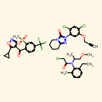 C#CCOc1cc(-n2nc3n(c2=O)CCCC3)c(Cl)cc1Cl.CCc1cccc(C)c1N(C(=O)CCl)C(C)COC.CS(=O)(=O)c1cc(C(F)(F)F)ccc1C(=O)c1cnoc1C1CC1